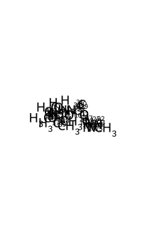 COc1c(NC(=O)N[C@H]2CC[C@@H](Oc3ccc4nnc([C@@H]5CCCN5C)n4c3)c3ccccc32)cc(C(C)(C)C)cc1NS(C)(=O)=O